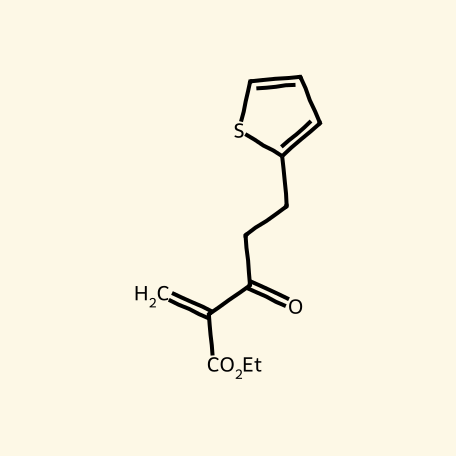 C=C(C(=O)CCc1cccs1)C(=O)OCC